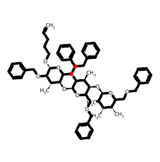 C=CCCCO[C@@H]1OC(COCc2ccccc2)[C@@H](O[C@@H]2OC(COCc3ccccc3)[C@H](O[C@H]3OC(COCc4ccccc4)[C@H](C)[C@H](C)C3C)[C@H](C)C2OCc2ccccc2)[C@H](C)C1OCc1ccccc1